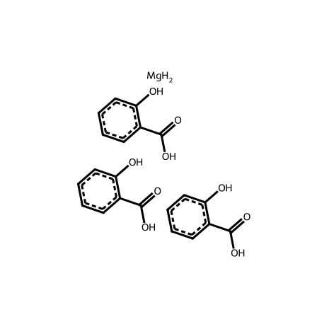 O=C(O)c1ccccc1O.O=C(O)c1ccccc1O.O=C(O)c1ccccc1O.[MgH2]